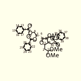 COC(CC1O[C@H](C[C@@H](COC(=O)c2ccccc2)OC(=O)c2ccccc2)[C@H](OC)C1CS(=O)(=O)c1ccccc1)OC